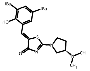 CN(C)[C@@H]1CCN(C2=NC(=O)/C(=C/c3cc(C(C)(C)C)cc(C(C)(C)C)c3O)S2)C1